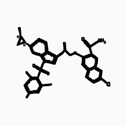 Cc1cc(C)c(S(=O)(=O)n2cc(C(=O)COc3cc4ccc(Cl)cc4cc3C(N)=O)c3ccc([C@@H]4C[C@H]4C)cc32)c(C)c1